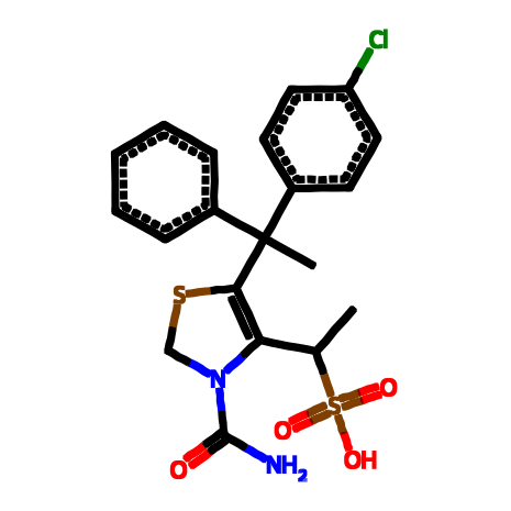 CC(C1=C(C(C)(c2ccccc2)c2ccc(Cl)cc2)SCN1C(N)=O)S(=O)(=O)O